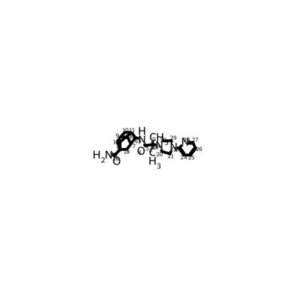 CC(C)(C(=O)NC1C2CC3CC1CC(C(N)=O)(C3)C2)N1CCN(c2ccccn2)CC1